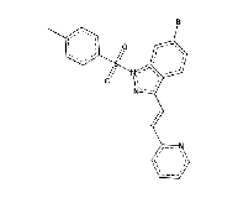 Cc1ccc(S(=O)(=O)n2nc(C=Cc3ccccn3)c3ccc(Br)cc32)cc1